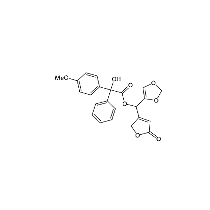 COc1ccc(C(O)(C(=O)OC(C2=CC(=O)OC2)C2=COCO2)c2ccccc2)cc1